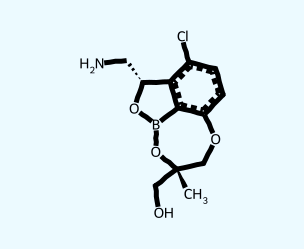 C[C@]1(CO)COc2ccc(Cl)c3c2B(O[C@@H]3CN)O1